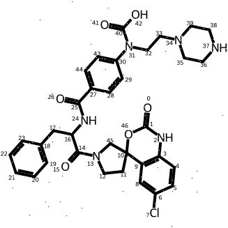 O=C1Nc2ccc(Cl)cc2C2(CCN(C(=O)C(Cc3ccccc3)NC(=O)c3ccc(N(CCN4CCNCC4)C(=O)O)cc3)C2)O1